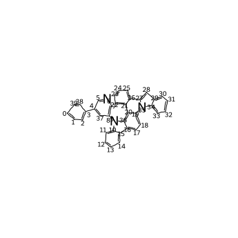 c1ccc(-c2cncc(-n3c4ccccc4c4ccc5c(c6ccccc6c6cc7ccccc7n65)c43)c2)cc1